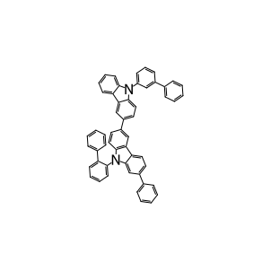 c1ccc(-c2cccc(-n3c4ccccc4c4cc(-c5ccc6c(c5)c5ccc(-c7ccccc7)cc5n6-c5ccccc5-c5ccccc5)ccc43)c2)cc1